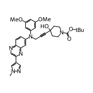 COc1cc(OC)cc(N(CC#CC2(O)CCN(C(=O)OC(C)(C)C)CC2)c2ccc3ncc(-c4cnn(C)c4)nc3c2)c1